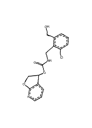 O=C(NCc1c(Cl)cccc1CO)OC1COc2ncccc21